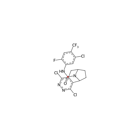 O=C(Nc1cc(Cl)c(C(F)(F)F)cc1F)N1C2CCC1c1c(Cl)nnc(Cl)c1C2